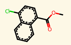 COC(=O)c1ccc(Cl)c2ccccc12